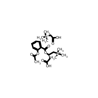 CC(=O)Oc1ccccc1C(=O)O[C@H](CC(=O)O)C[N+](C)(C)C.C[N+](C)(C)CC(=O)O